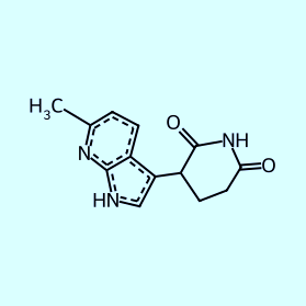 Cc1ccc2c(C3CCC(=O)NC3=O)c[nH]c2n1